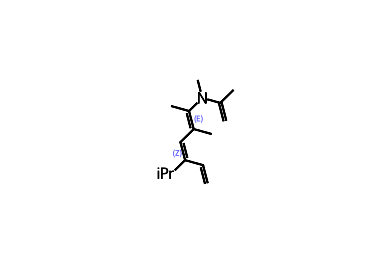 C=C/C(=C\C(C)=C(/C)N(C)C(=C)C)C(C)C